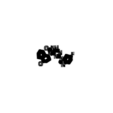 O=C1CC[C@@H](n2c(=O)[nH]c3cnc(-n4cnc5ccc(F)cc54)nc32)c2ccccc21